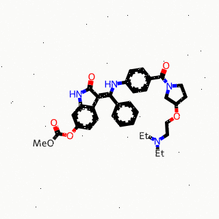 CCN(CC)CCOC1CCN(C(=O)c2ccc(N/C(=C3\C(=O)Nc4cc(OC(=O)OC)ccc43)c3ccccc3)cc2)C1